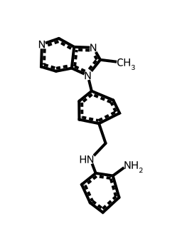 Cc1nc2cnccc2n1-c1ccc(CNc2ccccc2N)cc1